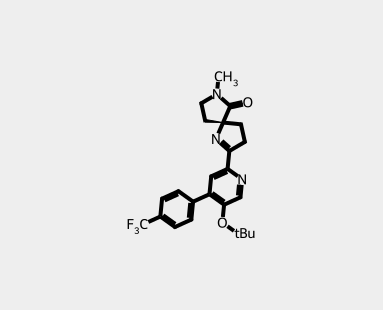 CN1CC[C@]2(CCC(c3cc(-c4ccc(C(F)(F)F)cc4)c(OC(C)(C)C)cn3)=N2)C1=O